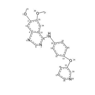 COc1cc2ncnc(Nc3ccc(Oc4cccnc4)cc3)c2cc1OC